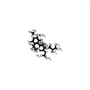 [2H]c1c(OC([2H])([2H])[2H])c(OC)c([2H])c2c1C([2H])([2H])C([2H])([2H])N1CC(CC(C)C)C([2H])(OC(=O)[C@@H](N)C(C)C)C([2H])([2H])C21[2H]